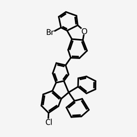 Clc1ccc2c(c1)C(c1ccccc1)(c1ccccc1)c1cc(-c3ccc4oc5cccc(Br)c5c4c3)ccc1-2